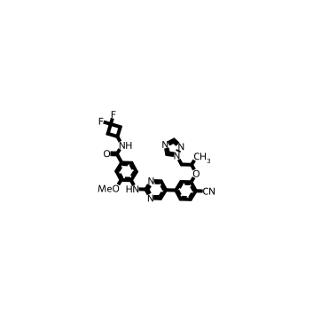 COc1cc(C(=O)NC2CC(F)(F)C2)ccc1Nc1ncc(-c2ccc(C#N)c(OC(C)Cn3cncn3)c2)cn1